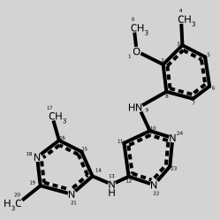 COc1c(C)cccc1Nc1cc(Nc2cc(C)nc(C)n2)ncn1